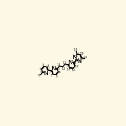 Cc1cccc(-c2cccc(CCCc3cccc(-c4nc(C)cc(C)n4)n3)n2)n1